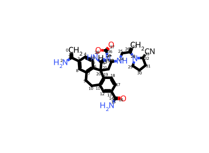 C=C(N)c1ccc2c(c1)CCc1cc(C(N)=O)ccc1C2(C[C@@H](C)NCC(=C)N1CCCC1C#N)c1nc(=O)o[nH]1